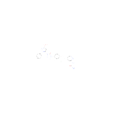 CNC(=O)Nc1cc(COc2ccc(NC(=O)Nc3cc(O)nn3-c3ccc(C)cc3)c(Cl)c2Cl)ccn1